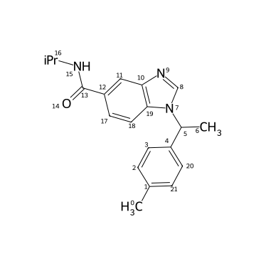 Cc1ccc(C(C)n2cnc3cc(C(=O)NC(C)C)ccc32)cc1